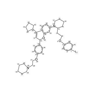 Ic1ccc(OCCC2CCCCN2c2ccc3c(c2)OC(c2ccc(OCCN4CCCCC4)cc2)C=C3C2CCCC2)cc1